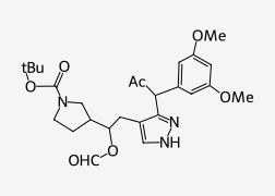 COc1cc(OC)cc(C(C(C)=O)c2n[nH]cc2CC(OC=O)C2CCN(C(=O)OC(C)(C)C)C2)c1